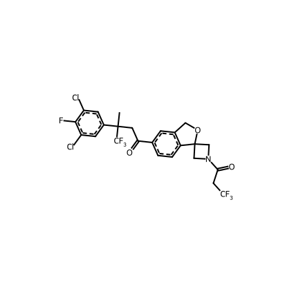 CC(CC(=O)c1ccc2c(c1)COC21CN(C(=O)CC(F)(F)F)C1)(c1cc(Cl)c(F)c(Cl)c1)C(F)(F)F